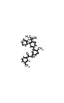 Cc1ncc(NC(=O)c2cccc(C(F)(F)F)c2)cc1-c1cnc(C(C)(C)C#N)c(N2CCOCC2)c1